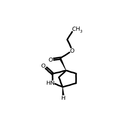 CCOC(=O)[C@@]12CC[C@@H](C1)NC2=O